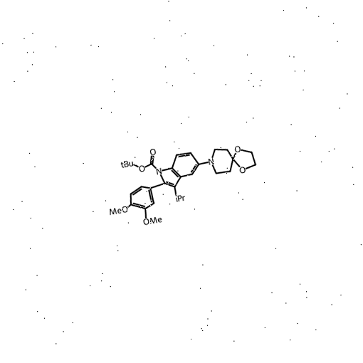 COc1ccc(-c2c(C(C)C)c3cc(N4CCC5(CC4)OCCO5)ccc3n2C(=O)OC(C)(C)C)cc1OC